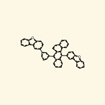 c1cc(-c2ccc3oc4ccccc4c3c2)cc(-c2c3ccccc3c(-c3ccc4oc5ccccc5c4c3)c3c2ccc2ccccc23)c1